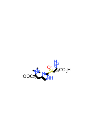 C[N+](C)(C)[C@@H](Cc1c[nH]c([S+]([O-])C[C@H](N)C(=O)O)n1)C(=O)[O-]